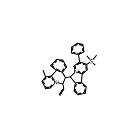 C=CC1C(C2c3ccccc3-c3cc(S(C)(C)C)c(-c4ccccc4)c[n+]32)c2ccccc2-c2c(C)ccc[n+]21